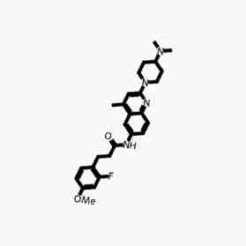 COc1ccc(CCC(=O)Nc2ccc3nc(N4CCC(N(C)C)CC4)cc(C)c3c2)c(F)c1